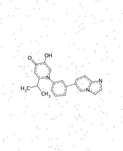 CC(C)c1cc(=O)c(O)cn1-c1cccc(-c2ccc3nccn3c2)c1